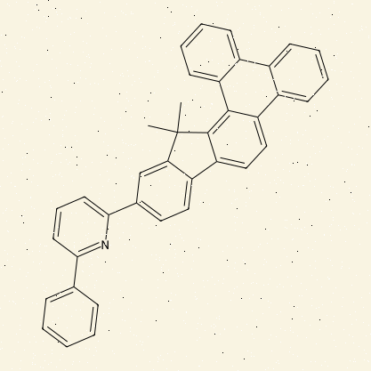 CC1(C)c2cc(-c3cccc(-c4ccccc4)n3)ccc2-c2ccc3c4ccccc4c4ccccc4c3c21